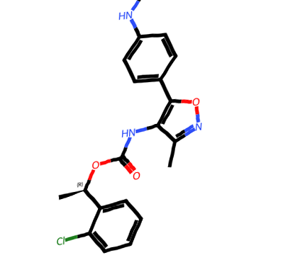 CNc1ccc(-c2onc(C)c2NC(=O)O[C@H](C)c2ccccc2Cl)cc1